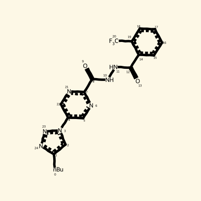 CCCCc1cn(-c2cnc(C(=O)NNC(=O)c3ccccc3C(F)(F)F)nc2)nn1